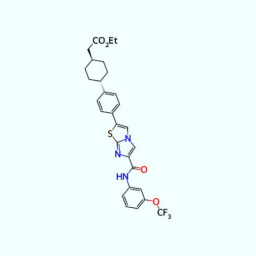 CCOC(=O)C[C@H]1CC[C@H](c2ccc(-c3cn4cc(C(=O)Nc5cccc(OC(F)(F)F)c5)nc4s3)cc2)CC1